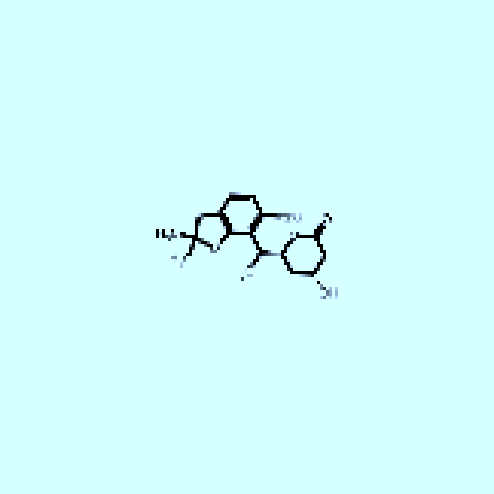 CC(c1c(C(C)(C)C)ccc2c1OC(C)(C)C2)[C@@H]1C[C@@H](O)CC(=O)O1